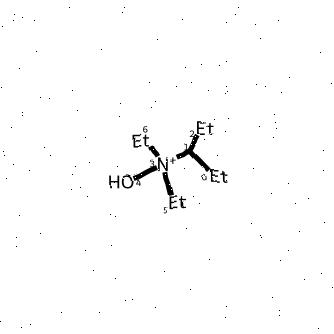 CCC(CC)[N+](O)(CC)CC